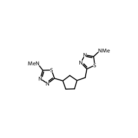 CNc1nnc(CC2CCC(c3nnc(NC)s3)C2)s1